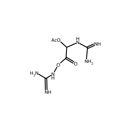 CC(=O)OC(NC(=N)N)C(=O)ONC(=N)N